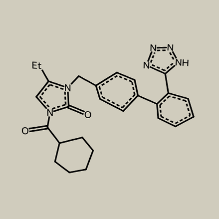 CCc1cn(C(=O)C2CCCCC2)c(=O)n1Cc1ccc(-c2ccccc2-c2nnn[nH]2)cc1